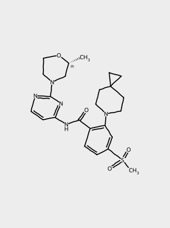 C[C@@H]1CN(c2nccc(NC(=O)c3ccc(S(C)(=O)=O)cc3N3CCC4(CC3)CC4)n2)CCO1